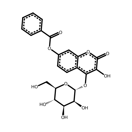 O=C(Oc1ccc2c(O[C@H]3O[C@H](CO)[C@@H](O)[C@H](O)[C@@H]3O)c(O)c(=O)oc2c1)c1ccccc1